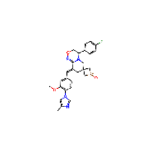 COc1cc(/C=C2\CC3(CN4C2=NOCC4c2ccc(F)cc2)C[S+]([O-])C3)ccc1-n1cnc(C)c1